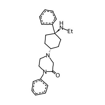 CCN[C@]1(c2ccccc2)CC[C@@H](N2CCN(c3ccccc3)C(=O)C2)CC1